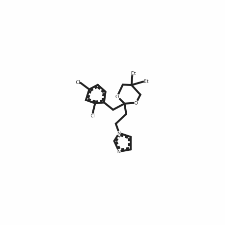 CCC1(CC)COC(CCn2ccnc2)(Cc2ccc(Cl)cc2Cl)OC1